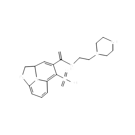 O=C(NCCN1CCNCC1)C1=CC2CNC3=CC=CC(=C1S(=O)(=O)O)N32